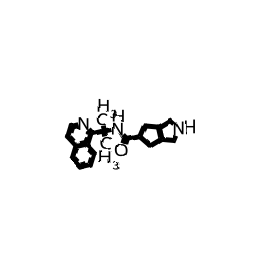 CC(C)(NC(=O)C1CC2CNCC2C1)c1nccc2ccccc12